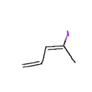 C=C/C=C(\C)I